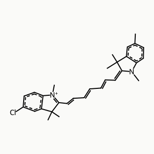 Cc1ccc2c(c1)C(C)(C)\C(=C/C=C/C=C/C=C/C1=[N+](C)c3ccc(Cl)cc3C1(C)C)N2C